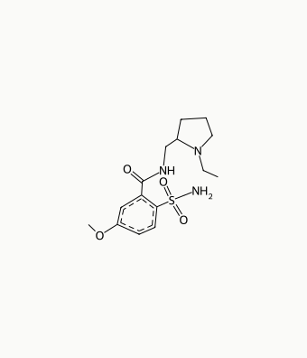 CCN1CCCC1CNC(=O)c1cc(OC)ccc1S(N)(=O)=O